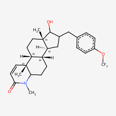 CN1C(=O)C=C[C@@]2(C)C1CC[C@@H]1[C@H]2CC[C@]2(C)C(O)C(Cc3ccc(OC(F)(F)F)cc3)C[C@@H]12